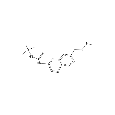 CSSCc1ccc2ccc(NC(=O)NC(C)(C)C)cc2c1